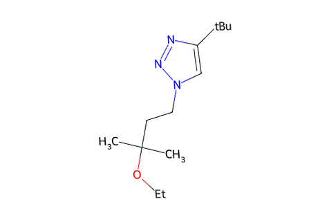 CCOC(C)(C)CCn1cc(C(C)(C)C)nn1